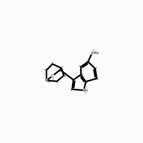 CSc1ccc2[nH]cc(C3CN4CCC3CC4)c2c1